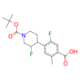 Cc1cc(C2CCN(C(=O)OC(C)(C)C)CC2F)c(F)cc1C(=O)O